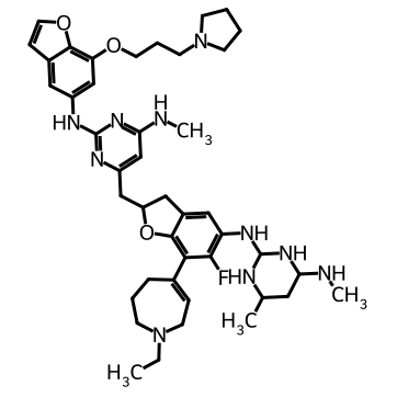 CCN1CC=C(c2c(F)c(NC3NC(C)CC(NC)N3)cc3c2OC(Cc2cc(NC)nc(Nc4cc(OCCCN5CCCC5)c5occc5c4)n2)C3)CCC1